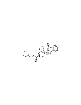 O=C(CCC1CCCCC1)N1CCC(O)(CN2Cc3cccnc3C2=O)C2(CCCC2)C1